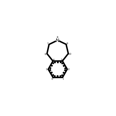 c1ccc2c(c1)CC[N]CC2